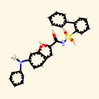 CN(c1ccccc1)c1ccc2cc(C(=O)NS(=O)(=O)c3ccccc3-c3ccccc3)oc2c1